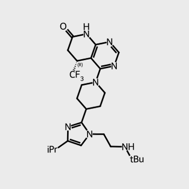 CC(C)c1cn(CCNC(C)(C)C)c(C2CCN(c3ncnc4c3[C@H](C(F)(F)F)CC(=O)N4)CC2)n1